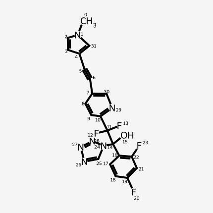 Cn1ccc(C#Cc2ccc(C(F)(F)C(O)(c3ccc(F)cc3F)n3cnnn3)nc2)c1